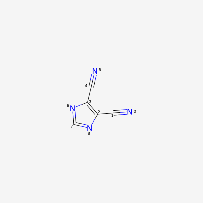 N#CC1=C(C#N)N=C=N1